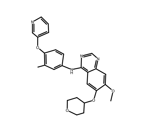 COc1cc2ncnc(Nc3ccc(Oc4cccnc4)c(C)c3)c2cc1OC1CCOCC1